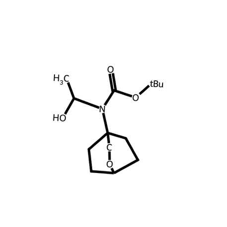 CC(O)N(C(=O)OC(C)(C)C)C12CCC(CC1)OC2